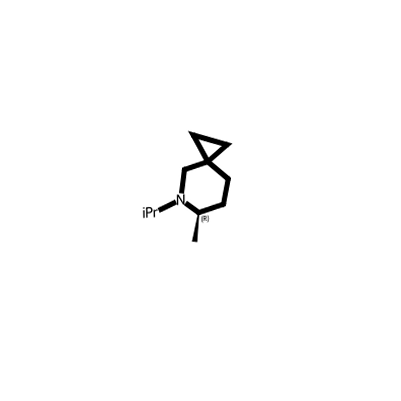 CC(C)N1CC2(CC[C@H]1C)CC2